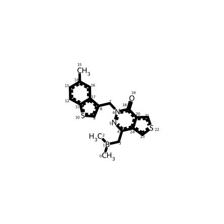 CB(C)Cc1nn(Cc2csc3ccc(C)cc23)c(=O)c2cscc12